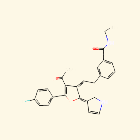 CNC(=O)c1c(-c2ccc(F)cc2)oc(=C2\C=CNC2)/c1=C\Cc1cccc(C(=O)NCC(C)(C)C)c1